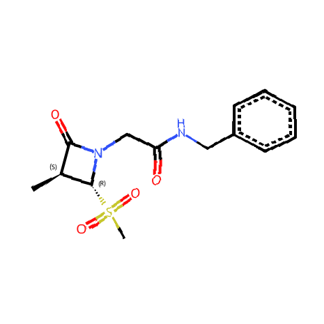 C[C@H]1C(=O)N(CC(=O)NCc2ccccc2)[C@@H]1S(C)(=O)=O